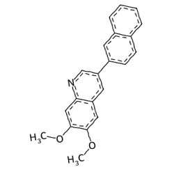 COc1cc2cc(-c3ccc4ccccc4c3)cnc2cc1OC